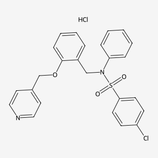 Cl.O=S(=O)(c1ccc(Cl)cc1)N(Cc1ccccc1OCc1ccncc1)c1ccccc1